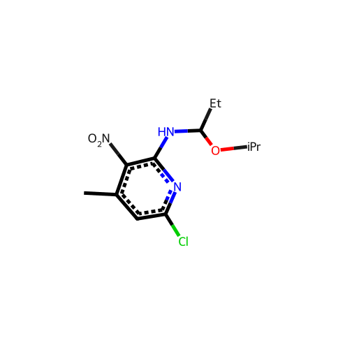 CCC(Nc1nc(Cl)cc(C)c1[N+](=O)[O-])OC(C)C